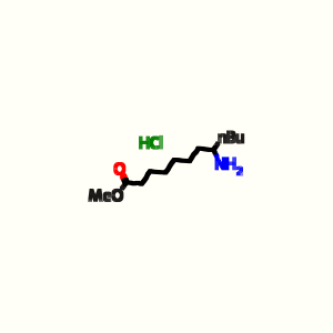 CCCCC(N)CCCCCCC(=O)OC.Cl